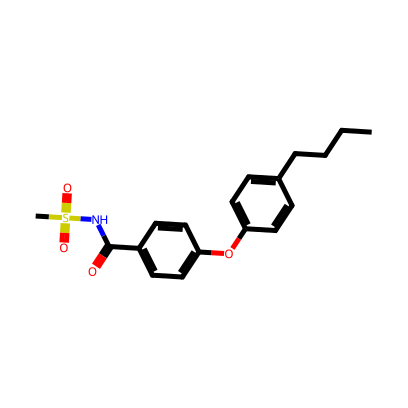 CCCCc1ccc(Oc2ccc(C(=O)NS(C)(=O)=O)cc2)cc1